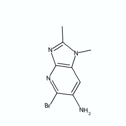 Cc1nc2nc(Br)c(N)cc2n1C